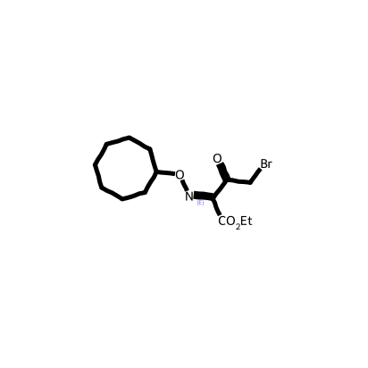 CCOC(=O)/C(=N/OC1CCCCCCC1)C(=O)CBr